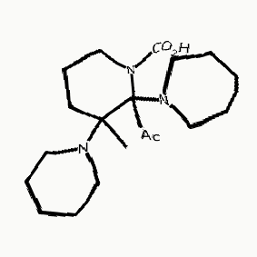 CC(=O)C1(N2CCCCC2)N(C(=O)O)CCCC1(C)N1CCCCC1